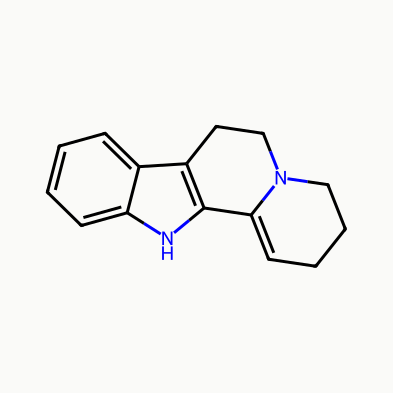 C1=C2c3[nH]c4ccccc4c3CCN2CCC1